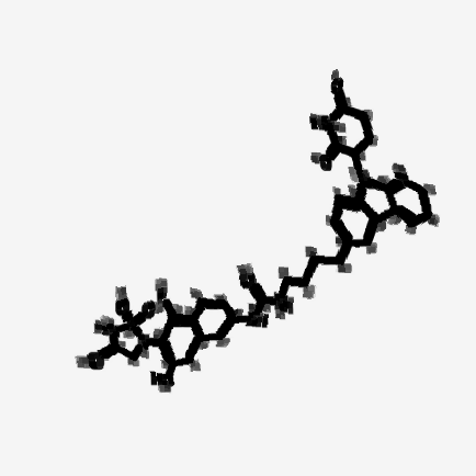 O=C1CCC(n2c3ccc(CCCCNC(=O)Nc4ccc5c(F)c(N6CC(=O)NS6(=O)=O)c(O)cc5c4)cc3c3cccnc32)C(=O)N1